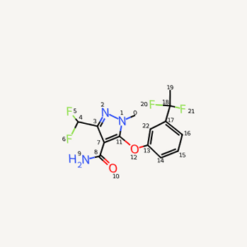 Cn1nc(C(F)F)c(C(N)=O)c1Oc1cccc(C(C)(F)F)c1